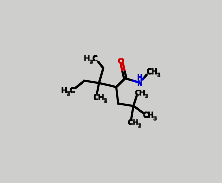 CCC(C)(CC)C(CC(C)(C)C)C(=O)NC